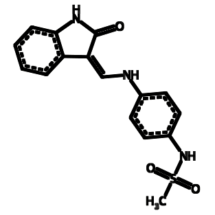 CS(=O)(=O)Nc1ccc(N/C=C2\C(=O)Nc3ccccc32)cc1